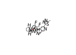 Cc1nnc(-c2cc3cc(NC(=O)N4[C@@H]5CC[C@H]4CC(NC(CF)CF)C5)ncc3cn2)s1